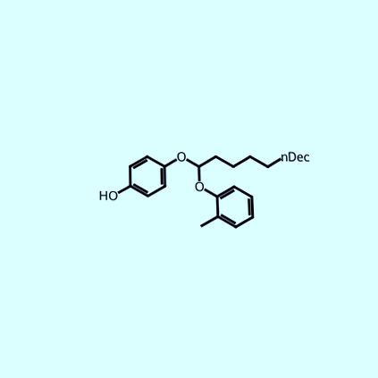 CCCCCCCCCCCCCCC(Oc1ccc(O)cc1)Oc1ccccc1C